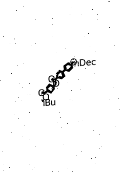 CCCCCCCCCCOc1ccc(-c2ccc(C(=O)Oc3ccc(C(=O)OCC(C)CC)cc3)cc2)cc1